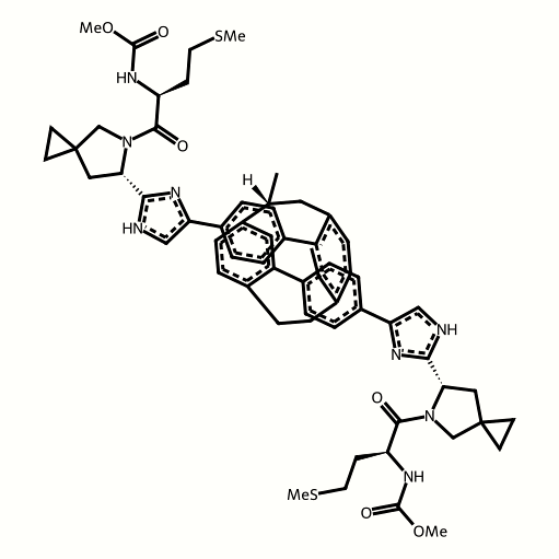 COC(=O)N[C@@H](CCSC)C(=O)N1CC2(CC2)C[C@H]1c1nc(-c2ccc(-c3cc4ccc3CCc3ccc(c(-c5ccc(-c6c[nH]c([C@@H]7CC8(CC8)CN7C(=O)[C@H](CCSC)NC(=O)OC)n6)cc5)c3)C[C@H]4C)cc2)c[nH]1